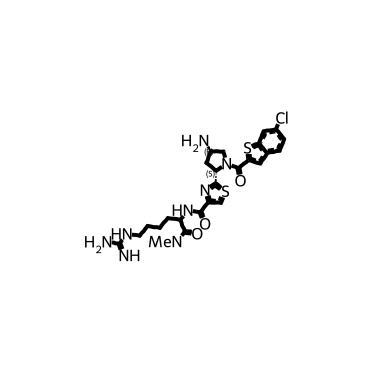 CNC(=O)C(CCCCNC(=N)N)NC(=O)c1csc([C@@H]2C[C@@H](N)CN2C(=O)c2cc3ccc(Cl)cc3s2)n1